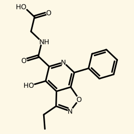 CCc1noc2c(-c3ccccc3)nc(C(=O)NCC(=O)O)c(O)c12